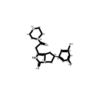 O=C(Cc1[nH]c(=S)n2c1C[C@@H](c1cc(F)cc(F)c1)C2)N1CCOCC1